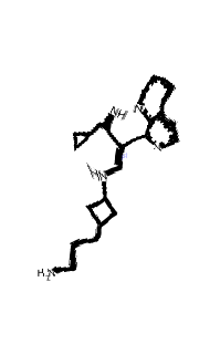 N=C(/C(=C\NC1CC(CCCN)C1)c1nccc2cccnc12)C1CC1